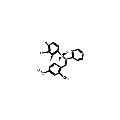 COc1ccc(CN(c2ccncn2)S(=O)(=O)c2ccc(F)c(Cl)c2F)c(C)c1